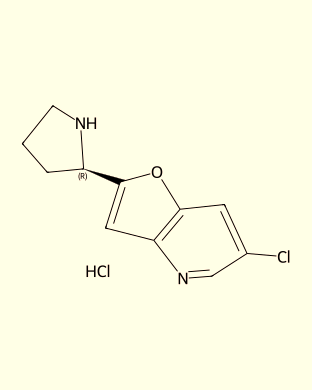 Cl.Clc1cnc2cc([C@H]3CCCN3)oc2c1